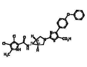 Cc1[nH]c(C(=O)N[C@@H]2[C@@H]3CN(c4nc(-c5ccc(Oc6ccccc6)cc5)c(C(=O)O)s4)C[C@@H]32)c(Cl)c1Cl